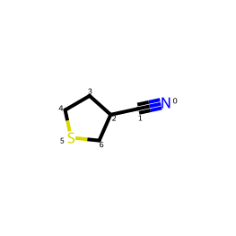 N#CC1CCSC1